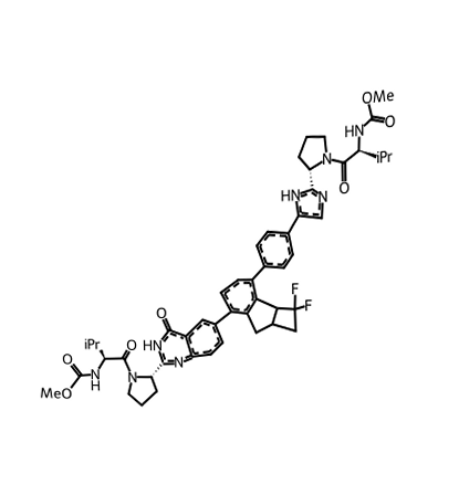 COC(=O)N[C@H](C(=O)N1CCC[C@H]1c1ncc(-c2ccc(-c3ccc(-c4ccc5nc([C@@H]6CCCN6C(=O)[C@@H](NC(=O)OC)C(C)C)[nH]c(=O)c5c4)c4c3C3C(C4)CC3(F)F)cc2)[nH]1)C(C)C